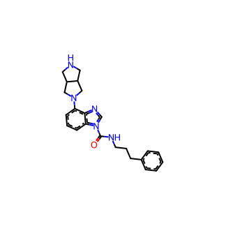 O=C(NCCCc1ccccc1)n1cnc2c(N3CC4CNCC4C3)cccc21